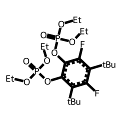 CCOP(=O)(OCC)Oc1c(F)c(C(C)(C)C)c(F)c(C(C)(C)C)c1OP(=O)(OCC)OCC